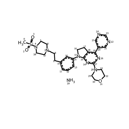 CS(=O)(=O)N1CCN(CCc2cccc(N3CCc4c(-c5cncnc5)nc(N5CCOCC5)nc43)c2)CC1.N